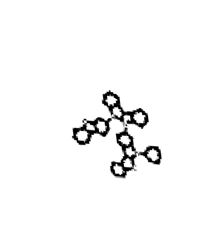 c1ccc(-n2c3cc(-n4c5ccccc5c5c6ccccc6n(-c6ccc7c(c6)oc6ccccc67)c54)ccc3c3c4ccccc4oc32)cc1